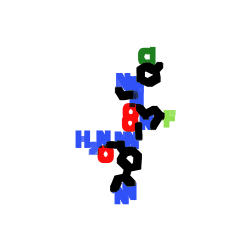 Cc1ccc(-n2nccc2NC(=O)C2CC(F)CN2C(=O)Cn2nc(C(N)=O)c3cc(-c4ccnnc4)ccc32)cc1Cl